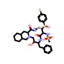 CC(C)(C)NC(=O)C1CC2CCCCC2CN1CC(O)C(Cc1ccccc1)NC(=O)C(C[S+]([O-])c1ccc(F)cc1)NS(C)(=O)=O